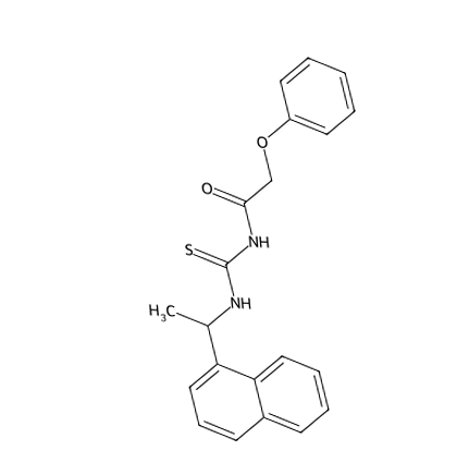 CC(NC(=S)NC(=O)COc1ccccc1)c1cccc2ccccc12